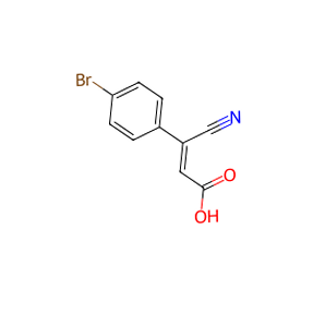 N#CC(=CC(=O)O)c1ccc(Br)cc1